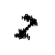 CC(C)(C)[C@H](NC(=O)O)C(=O)N1[C@@H]2C[C@@H]2C[C@H]1c1nc(-c2ccc(-c3ccc(-c4c[nH]c([C@@H]5C[C@H]6C[C@H]6N5C(=O)CCCC[C@@H]5SC[C@@H]6NC(=O)N[C@@H]65)n4)cc3)cc2)c[nH]1